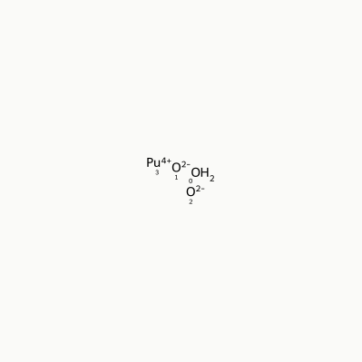 O.[O-2].[O-2].[Pu+4]